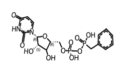 O=c1ccn([C@@H]2O[C@H](COP(=O)(O)OP(=O)(O)Cc3ccccc3)C(O)[C@@H]2O)c(=O)[nH]1